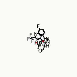 O=C(c1ccnc(C(F)(F)F)c1F)N1[C@H]2COC[C@@H]1c1nnc(-c3ccc(F)cc3)n1C2